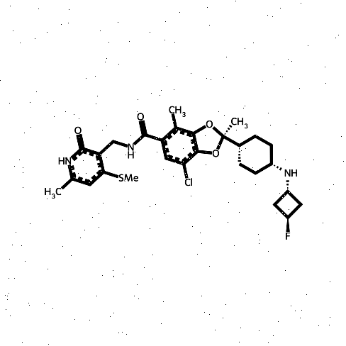 CSc1cc(C)[nH]c(=O)c1CNC(=O)c1cc(Cl)c2c(c1C)O[C@@](C)([C@H]1CC[C@@H](N[C@H]3C[C@H](F)C3)CC1)O2